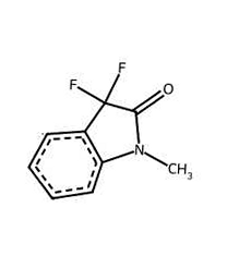 CN1C(=O)C(F)(F)c2[c]cccc21